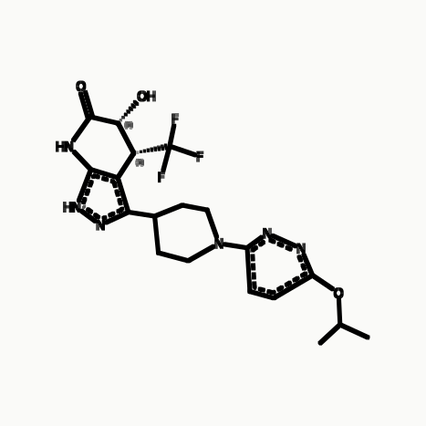 CC(C)Oc1ccc(N2CCC(c3n[nH]c4c3[C@@H](C(F)(F)F)[C@@H](O)C(=O)N4)CC2)nn1